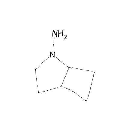 NN1CCC2CCC21